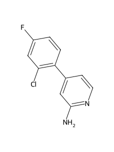 Nc1cc(-c2ccc(F)cc2Cl)ccn1